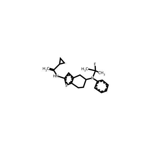 C=C(Nc1cc2c(s1)CCC(N(c1ccccc1)C(C)(C)F)C2)C1CC1